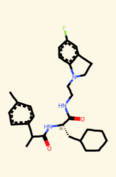 Cc1ccc(C(C)C(=O)N[C@@H](CC2CCCCC2)C(=O)NCCN2CCc3cc(F)ccc32)cc1